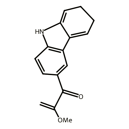 C=C(OC)C(=O)c1ccc2[nH]c3c(c2c1)=CCCC=3